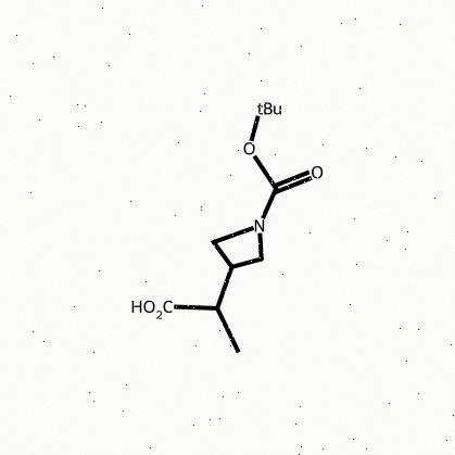 CC(C(=O)O)C1CN(C(=O)OC(C)(C)C)C1